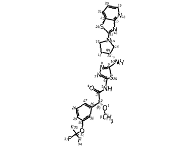 CO[C@@H](C(=O)Nc1nnc(N[C@@H]2CCN(c3nc4ncccc4s3)C2)s1)c1cccc(OC(F)(F)F)c1